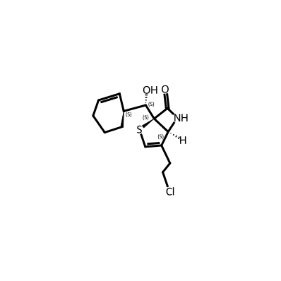 O=C1N[C@H]2C(CCCl)=CS[C@@]12[C@@H](O)[C@@H]1C=CCCC1